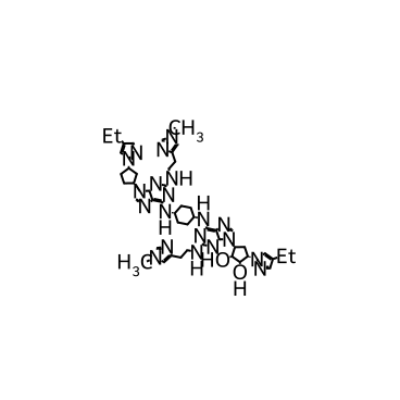 CCc1cnn([C@@H]2CC[C@H](n3cnc4c(N[C@H]5CC[C@H](Nc6nc(NCCc7cn(C)cn7)nc7c6ncn7[C@@H]6C[C@H](n7cc(CC)cn7)[C@@H](O)[C@H]6O)CC5)nc(NCCc5cn(C)cn5)nc43)C2)c1